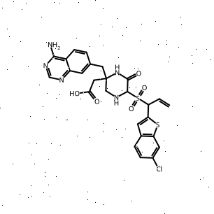 C=CC(c1cc2ccc(Cl)cc2s1)S(=O)(=O)C1NCC(CC(=O)O)(Cc2ccc3c(N)ncnc3c2)NC1=O